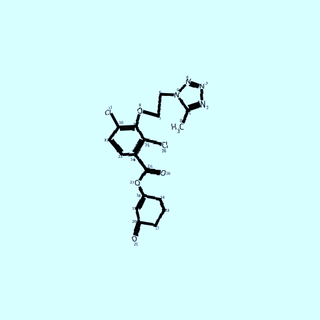 Cc1nnnn1CCOc1c(Cl)ccc(C(=O)OC2=CC(=O)CCC2)c1Cl